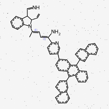 C=CC1C(C=N)c2ccccc2N1/C(C)=C/C=C(\N)c1ccc(-c2ccc3c(-c4ccc5ccccc5c4)c4ccccc4c(-c4ccc5ccccc5c4)c3c2)cn1